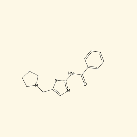 O=C(Nc1ncc(CN2CCCC2)s1)c1ccccc1